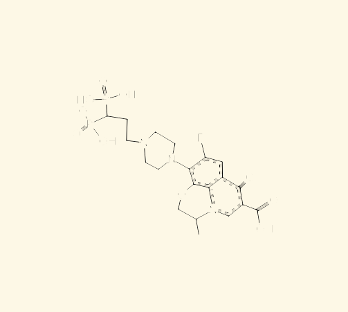 CC1COc2c(N3CCN(CCC(P(=O)(O)O)P(=O)(O)O)CC3)c(F)cc3c(=O)c(C(=O)O)cn1c23